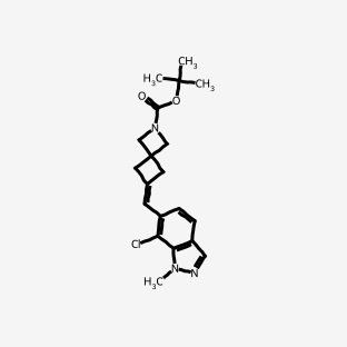 Cn1ncc2ccc(C=C3CC4(C3)CN(C(=O)OC(C)(C)C)C4)c(Cl)c21